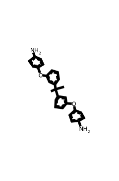 CC(C)(c1cccc(Oc2ccc(N)cc2)c1)c1cccc(Oc2ccc(N)cc2)c1